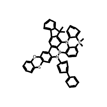 CC1(C)c2ccccc2-c2cc3c4c(c21)N1c2ccccc2S(C)(C)c2cccc(c21)B4N(c1ccc(-c2ccccc2)cc1)c1cc2c(cc1-3)Oc1ccccc1S2